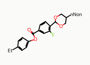 CCCCCCCCCC1COC(c2ccc(C(=O)Oc3ccc(CC)cc3)cc2F)OC1